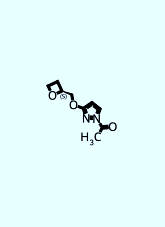 CC(=O)n1ccc(OC[C@@H]2CCO2)n1